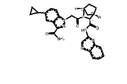 NC(=O)c1nn(CC(=O)N2[C@@H]3CC[C@@H](C3)[C@H]2C(=O)Nc2cnc3ccccc3n2)c2ccc(C3CC3)cc12